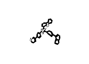 c1cncc(-c2ccc(-c3nc(-c4ccc(-c5cccc6ccccc56)cc4)nc(-c4cccc5c4oc4ccccc45)n3)cc2)c1